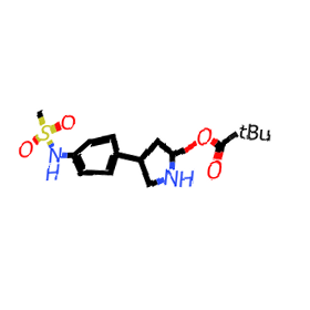 CC(C)(C)C(=O)OC1CC(c2ccc(NS(C)(=O)=O)cc2)CN1